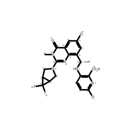 C[C@H](Nc1ccc(Cl)nc1C(=O)O)c1cc(Cl)cc2c(=O)n(C)c(N3CC4C(C3)C4(F)F)nc12